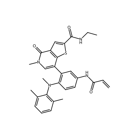 C=CC(=O)Nc1ccc(N(C)c2c(C)cccc2C)c(-c2cn(C)c(=O)c3cc(C(=O)NCC)sc23)c1